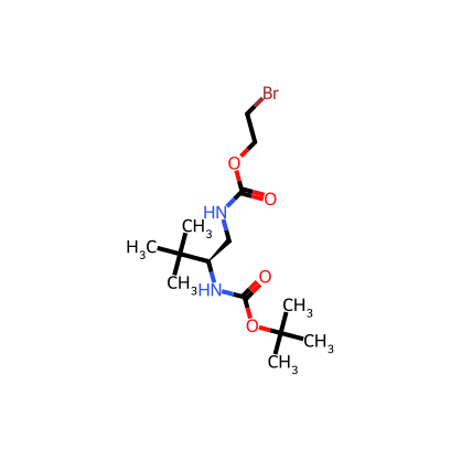 CC(C)(C)OC(=O)N[C@H](CNC(=O)OCCBr)C(C)(C)C